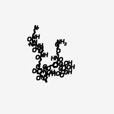 C=C1C[C@H]2C(O)N(C(=O)OCc3ccc(O[C@@H]4O[C@H](C(=O)O)[C@@H](O)[C@H](O)[C@H]4O)c(C(=O)NCCOCCON)c3)c3cc(OCCCC(=O)Nc4cc(C(=O)Nc5cn(C)c(C(=O)NCCCN(C)C)n5)n(C)c4)c(OC)cc3C(=O)N2C1